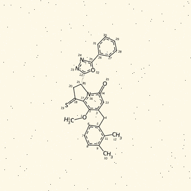 COc1c(Cc2cccc(C)c2C)cc(=O)n2c1C(=S)C[C@@H]2c1nnc(-c2ccccc2)o1